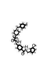 COc1cccc(CNC(=O)c2ccc(CNC(=O)C(C)(C)C3CCN(Cc4ccc(F)cc4)CC3)cc2)c1